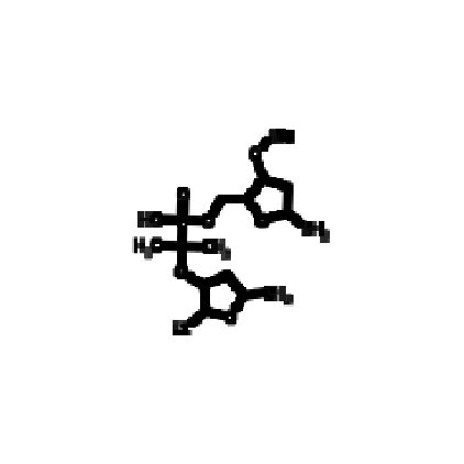 BC1CC(OC(C)(C)C)C(COP(=O)(O)C(C)(C)OC2CC(B)OC2CC)O1